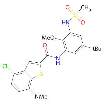 CNc1ccc(Cl)c2cc(C(=O)Nc3cc(C(C)(C)C)cc(NS(C)(=O)=O)c3OC)sc12